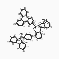 CC12CC=CC=C1c1c(c(-c3ccc4c5ccccc5c5ccccc5c4c3)nc3c(C4=CCC(P(=O)(c5ccccc5)c5ccccc5)C=C4)cccc13)O2